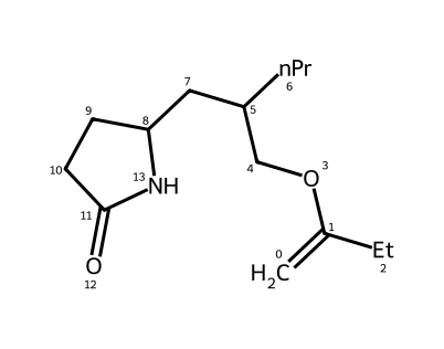 C=C(CC)OCC(CCC)CC1CCC(=O)N1